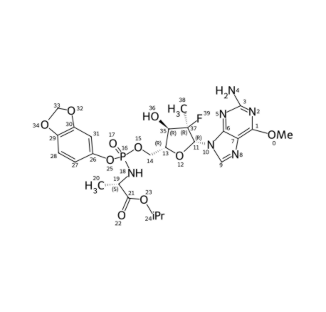 COc1nc(N)nc2c1ncn2[C@@H]1O[C@H](COP(=O)(N[C@@H](C)C(=O)OC(C)C)Oc2ccc3c(c2)OCO3)[C@@H](O)[C@@]1(C)F